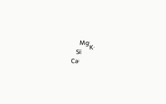 [Ca].[K].[Mg].[Si]